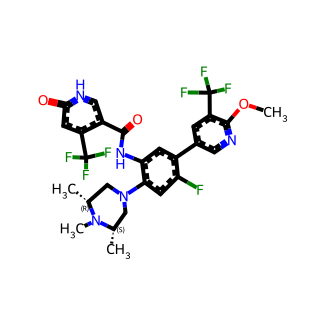 COc1ncc(-c2cc(NC(=O)c3c[nH]c(=O)cc3C(F)(F)F)c(N3C[C@@H](C)N(C)[C@@H](C)C3)cc2F)cc1C(F)(F)F